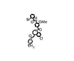 COc1cc(C(=O)N2CCCC(CC(=O)N3CCN(C)CC3)c3cc(Cl)ccc32)ccc1NC(=O)c1ccccc1Br